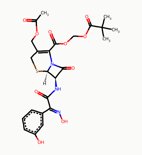 CC(=O)OCC1=C(C(=O)OCOC(=O)C(C)(C)C)N2C(=O)[C@@H](NC(=O)C(=NO)c3cccc(O)c3)[C@H]2SC1